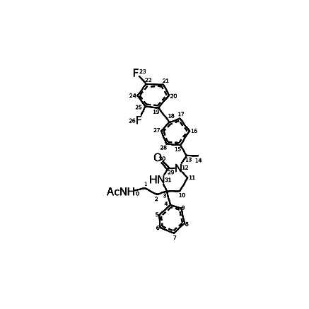 CC(=O)NCCC1(c2ccccc2)CCN(C(C)c2ccc(-c3ccc(F)cc3F)cc2)C(=O)N1